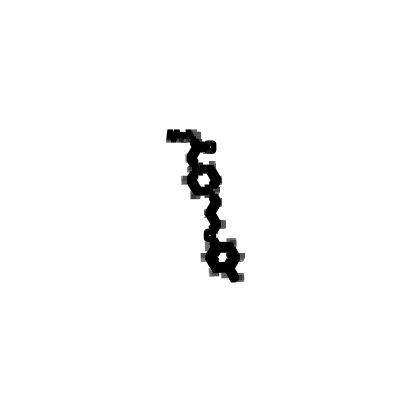 CNC(=O)CN1CCN(CCCOc2ccc(C)cc2)CC1